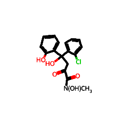 CN(O)C(=O)C(=O)CC(O)(c1ccccc1O)c1ccccc1Cl